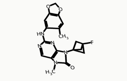 Cc1cc2c(cc1Nc1ncc3c(n1)n(C14CC(F)(C1)C4)c(=O)n3C)OCO2